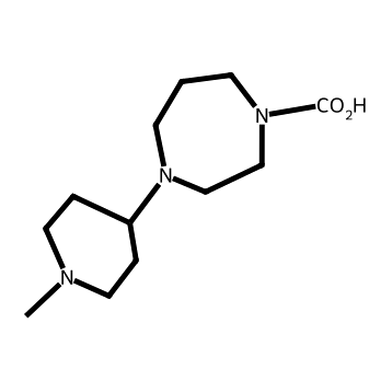 CN1CCC(N2CCCN(C(=O)O)CC2)CC1